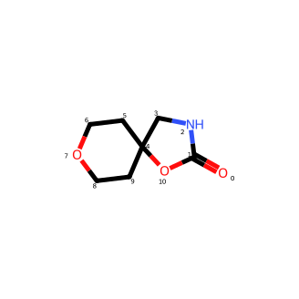 O=C1NCC2(CCOCC2)O1